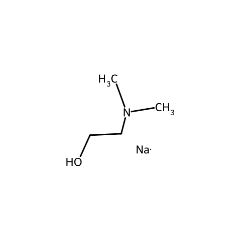 CN(C)CCO.[Na]